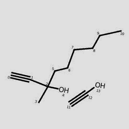 C#CC(C)(O)CCCCCC.C#CO